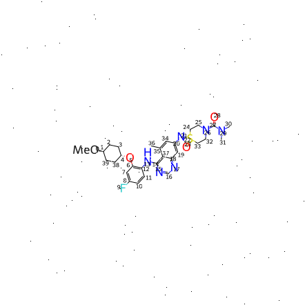 CO[C@H]1CC[C@H](Oc2cc(F)ccc2Nc2ncnc3cc(N=S4(=O)CCN(C(=O)N(C)C)CC4)cc(C)c23)CC1